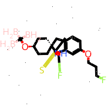 BC(B)(B)O[C@H]1CC[C@]2(CC1)Cc1ccc(OCCCF)cc1C21C=C(F)C(=S)N1